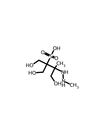 CNNC(C)(CO)C(CO)(CO)S(=O)(=O)O